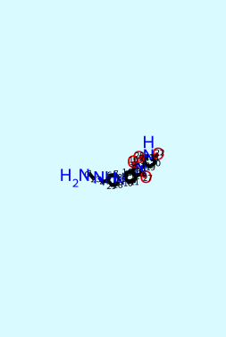 NCCNCC1CCN(c2ccc3c(c2)C(=O)N(C2CCC(=O)NC2=O)C3=O)CC1